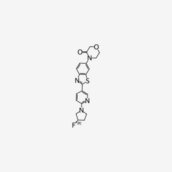 O=C1COCCN1c1ccc2nc(-c3ccc(N4CC[C@@H](F)C4)nc3)sc2c1